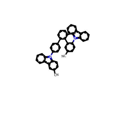 N#Cc1ccc(-n2c3ccccc3c3ccccc32)c(-c2c(C#N)cccc2-c2ccc(-n3c4ccccc4c4cc(C#N)ccc43)cc2)c1